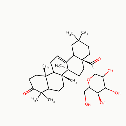 CC1(C)CC[C@]2(C(=O)[C@H]3OC(CO)[C@H](O)C(O)C3O)CC[C@]3(C)C(=CCC4[C@@]5(C)CCC(=O)C(C)(C)C5CC[C@]43C)C2C1